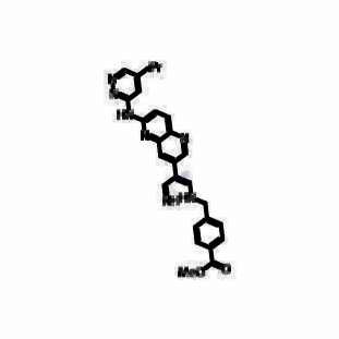 COC(=O)c1ccc(CN/C=C(\C=N)c2cnc3ccc(Nc4cc(C(C)C)cnn4)nc3c2)cc1